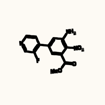 COC(=O)c1cc(-c2ccncc2F)cc(N)c1[N+](=O)[O-]